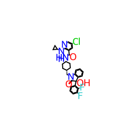 O=C(N[C@H]1CC[C@H](CN2C(=O)C(O)(c3cccc(F)c3F)c3ccccc32)CC1)c1cc(Cl)cnc1NC1CC1